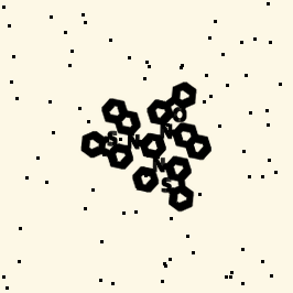 c1ccc(N(c2cc(N(c3ccc4ccccc4c3)c3cccc4c3oc3ccccc34)cc(N(c3ccc4ccccc4c3)c3cccc4c3sc3ccccc34)c2)c2cccc3c2sc2ccccc23)cc1